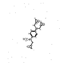 CN(CC1CO1)c1ccc(N(CC2CO2)CC2CO2)cc1